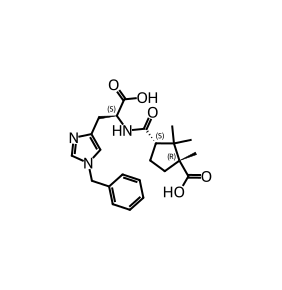 CC1(C)[C@@H](C(=O)N[C@@H](Cc2cn(Cc3ccccc3)cn2)C(=O)O)CC[C@@]1(C)C(=O)O